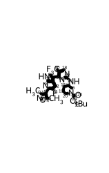 Cc1noc(C)c1-c1nc2[nH]cc(-c3nc(N[C@H]4CCCN(C(=O)OC(C)(C)C)C4)ncc3C(F)(F)F)c2cc1F